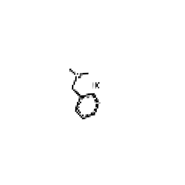 Cl.[CH3][Al]([CH3])[CH2]c1ccccc1